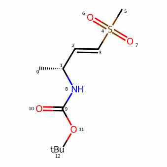 C[C@H](/C=C/S(C)(=O)=O)NC(=O)OC(C)(C)C